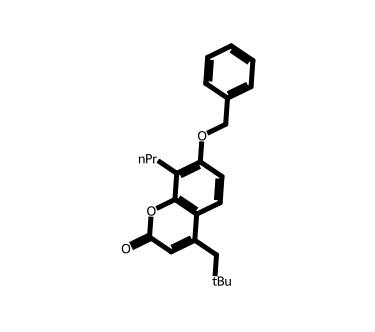 CCCc1c(OCc2ccccc2)ccc2c(CC(C)(C)C)cc(=O)oc12